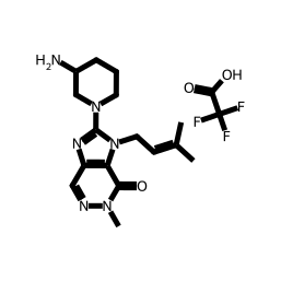 CC(C)=CCn1c(N2CCCC(N)C2)nc2cnn(C)c(=O)c21.O=C(O)C(F)(F)F